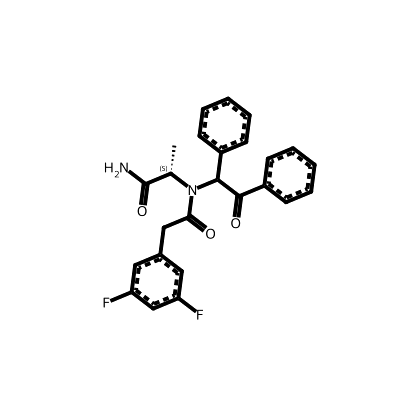 C[C@@H](C(N)=O)N(C(=O)Cc1cc(F)cc(F)c1)C(C(=O)c1ccccc1)c1ccccc1